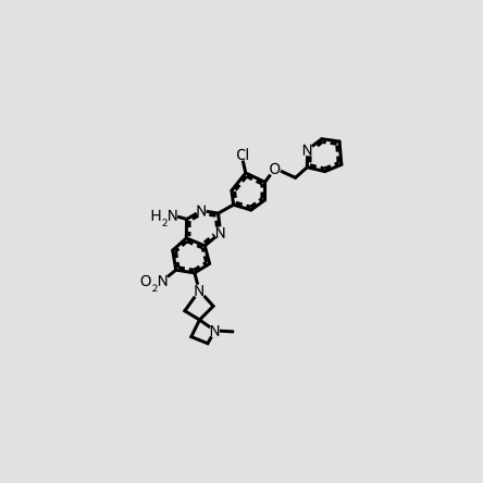 CN1CCC12CN(c1cc3nc(-c4ccc(OCc5ccccn5)c(Cl)c4)nc(N)c3cc1[N+](=O)[O-])C2